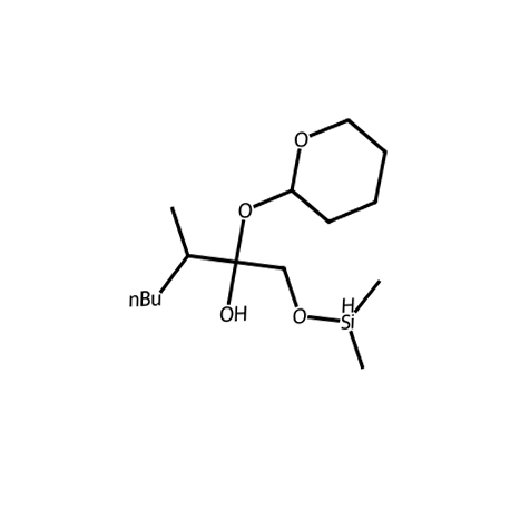 CCCCC(C)C(O)(CO[SiH](C)C)OC1CCCCO1